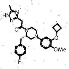 COc1ccc(N2CCN(C(=O)Cc3n[nH]c(C)n3)[C@@H](Cc3ccc(F)cc3)C2)cc1OC1CCC1